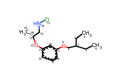 CCC(CC)COc1cccc(O[C@H](C)CNCl)c1